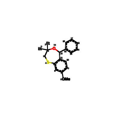 CCC1(CC)CSc2cc(OC)ccc2C(c2ccccc2)O1